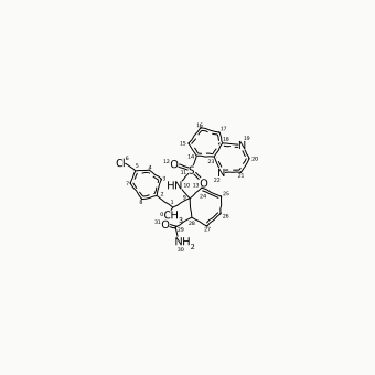 CC(c1ccc(Cl)cc1)C1(NS(=O)(=O)c2cccc3nccnc23)C=CC=CC1C(N)=O